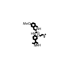 COc1ccc2c(c1)C[C@@H](C(=O)Nc1ccc(-c3c[nH]nc3C)cc1OCCN(C)C)NC2